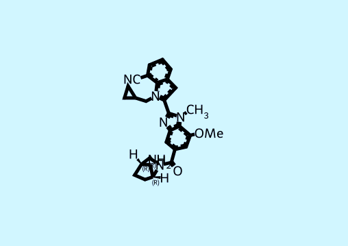 COc1cc(C(=O)N2C[C@H]3CC[C@@H]2[C@@H]3N)cc2nc(-c3cc4cccc(C#N)c4n3CC3CC3)n(C)c12